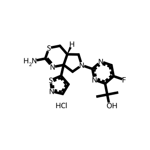 CC(C)(O)c1nc(N2C[C@H]3CSC(N)=NC3(c3ccns3)C2)ncc1F.Cl